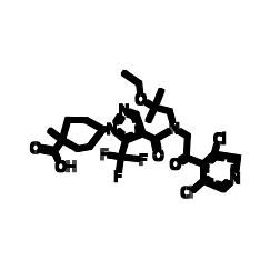 CCOC(C)(C)CN(CC(=O)c1c(Cl)cncc1Cl)C(=O)c1cnn(C2CCC(C)(C(=O)O)CC2)c1C(F)(F)F